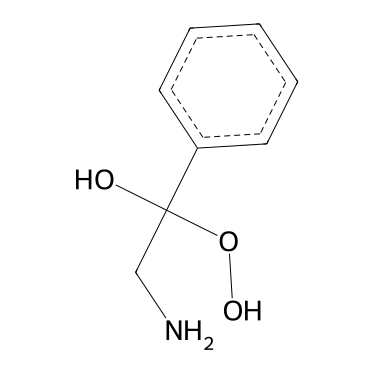 NCC(O)(OO)c1ccccc1